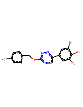 N#Cc1ccc(COc2ncc(-c3cc(Br)c(O)c(Br)c3)nn2)cc1